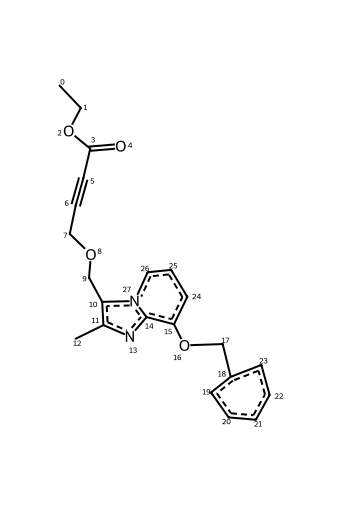 CCOC(=O)C#CCOCc1c(C)nc2c(OCc3ccccc3)cccn12